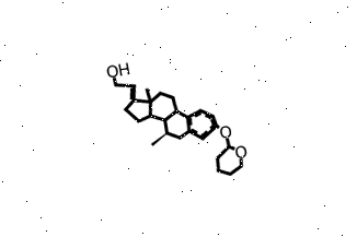 C[C@@H]1Cc2cc(OC3CCCCO3)ccc2C2CCC3(C)/C(=C/CO)CCC3C21